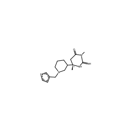 CN1C(=N)N[C@](C)(C2CCCN(Cc3ccsc3)C2)CC1=O